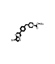 CC(C)(C)OC(=O)N1CCC(Cc2ccc(-c3cnc4c(Br)cnn4c3)cc2)CC1